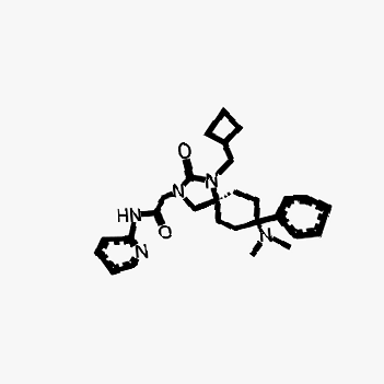 CN(C)[C@]1(c2ccccc2)CC[C@]2(CC1)CN(CC(=O)Nc1ccccn1)C(=O)N2CC1CCC1